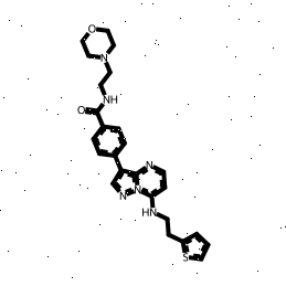 O=C(NCCN1CCOCC1)c1ccc(-c2cnn3c(NCCc4cccs4)ccnc23)cc1